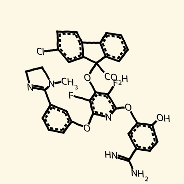 CN1CCN=C1c1cccc(Oc2nc(Oc3cc(C(=N)N)ccc3O)c(F)c(OC3(C(=O)O)c4ccccc4-c4ccc(Cl)cc43)c2F)c1